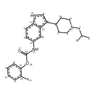 CC(C)CN1CCC(c2c[nH]c3ccc(NC(=O)Oc4ccccc4I)cc23)CC1